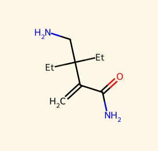 C=C(C(N)=O)C(CC)(CC)CN